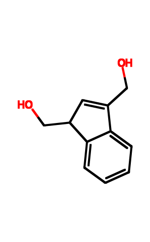 OCC1=CC(CO)c2ccccc21